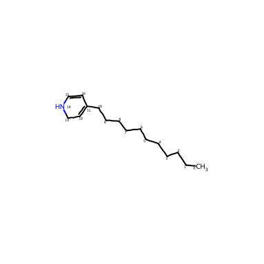 CCCCCCCCCCCC1=CCNC=C1